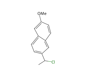 COc1ccc2cc(C(C)Cl)ccc2c1